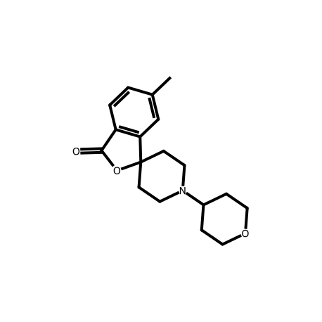 Cc1ccc2c(c1)C1(CCN(C3CCOCC3)CC1)OC2=O